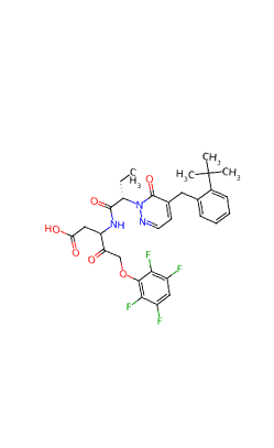 CC[C@@H](C(=O)NC(CC(=O)O)C(=O)COc1c(F)c(F)cc(F)c1F)n1nccc(Cc2ccccc2C(C)(C)C)c1=O